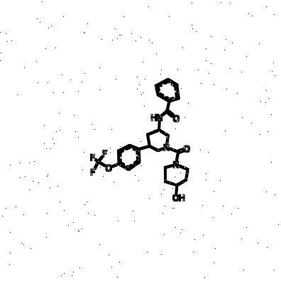 O=C(NC1CC(c2ccc(OC(F)(F)F)cc2)CN(C(=O)N2CCC(O)CC2)C1)c1ccccc1